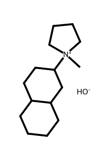 C[N+]1(C2CCC3CCCCC3C2)CCCC1.[OH-]